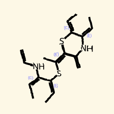 C=CNC(=C/C)/C(=C\C)S/C(C)=C1/SC(=C/C)/C(=C\C)NC1=C